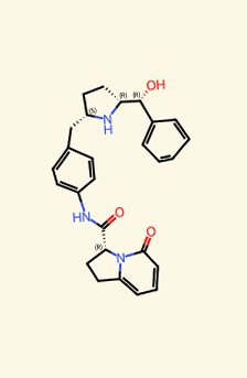 O=C(Nc1ccc(C[C@@H]2CC[C@H]([C@H](O)c3ccccc3)N2)cc1)[C@H]1CCc2cccc(=O)n21